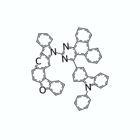 c1ccc(-n2c3ccccc3c3cc(-c4nc(-n5c6ccccc6c6cc7ccc8oc9ccccc9c8c7cc65)nc5c6ccccc6c6ccccc6c45)ccc32)cc1